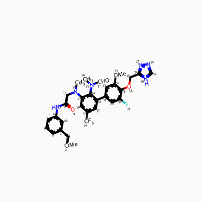 COCc1cccc(NC(=O)CN(C)c2cc(C(F)(F)F)cc(-c3cc(F)c(OCc4nnc[nH]4)c(OC)c3)c2N(C)C=O)c1